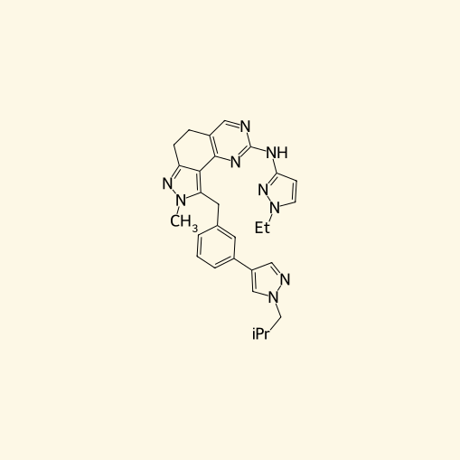 CCn1ccc(Nc2ncc3c(n2)-c2c(nn(C)c2Cc2cccc(-c4cnn(CC(C)C)c4)c2)CC3)n1